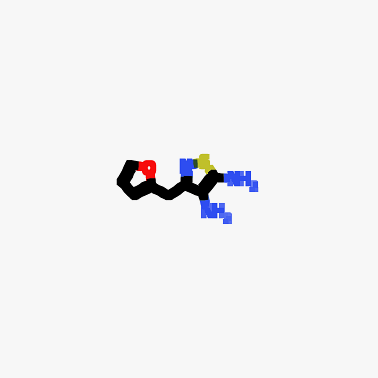 Nc1snc(Cc2ccco2)c1N